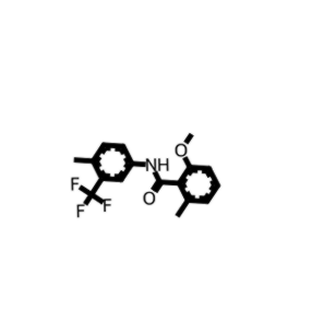 COc1cccc(C)c1C(=O)Nc1ccc(C)c(C(F)(F)F)c1